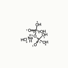 Cl.O=P(O)(O)OP(=O)(O)O.[NaH]